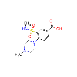 CNS(=O)(=O)c1cc(C(=O)O)ccc1N1CCN(C)CC1